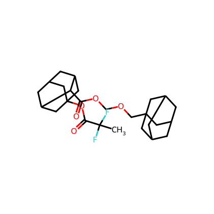 CC(F)(F)C(=O)OC12CC3CC(C1)C(C(=O)OCOCC14CC5CC(CC(C5)C1)C4)C(C3)C2